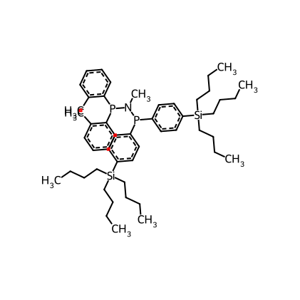 CCCC[Si](CCCC)(CCCC)c1ccc(P(c2ccc([Si](CCCC)(CCCC)CCCC)cc2)N(C)P(c2ccccc2C)c2ccccc2C)cc1